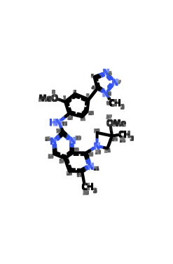 COc1cc(-c2cnnn2C)ccc1Nc1ncc2cc(C)nc(N3CC(C)(OC)C3)c2n1